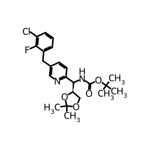 CC(C)(C)OC(=O)NC(c1ccc(Cc2cccc(Cl)c2F)cn1)[C@H]1COC(C)(C)O1